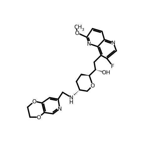 COc1ccc2ncc(F)c(C[C@H](O)[C@@H]3CC[C@@H](NCc4cc5c(cn4)OCCO5)CO3)c2n1